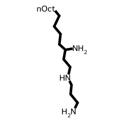 CCCCCCCCCCCCC(N)CCNCCCN